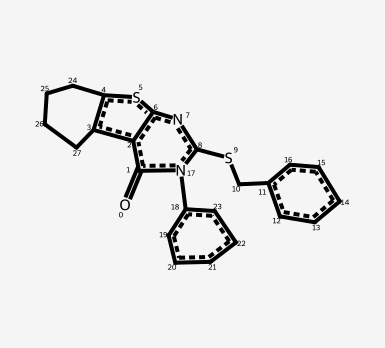 O=c1c2c3c(sc2nc(SCc2ccccc2)n1-c1ccccc1)CCCC3